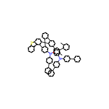 Cc1ccccc1-c1ccc(N(c2ccc(-c3ccccc3)cc2)c2ccc3c(c2)C2(c4ccccc4-c4ccc(-c5ccc(N(c6ccc(-c7ccccc7)cc6)c6ccc(-c7ccccc7)cc6)cc5)cc42)c2ccc4sc5ccccc5c4c2-3)cc1C